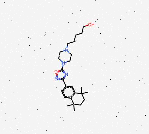 CC1(C)CCC(C)(C)c2cc(-c3noc(N4CCN(CCCCCO)CC4)n3)ccc21